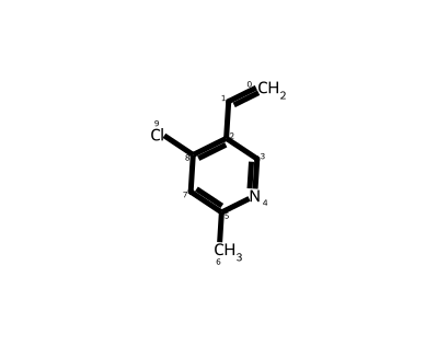 C=Cc1cnc(C)cc1Cl